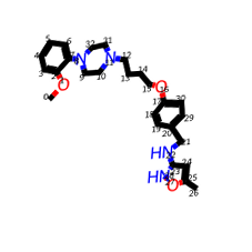 COc1ccccc1N1CCN(CCCCOc2ccc(CNC3C=C(C)ON3)cc2)CC1